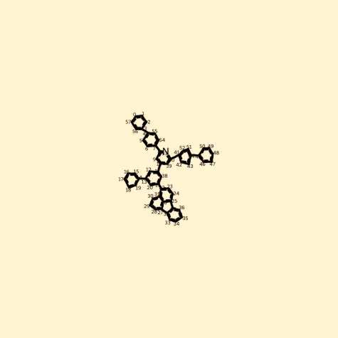 c1ccc(-c2ccc(-c3cc(-c4cc(-c5ccccc5)cc(-c5ccc6c7c(cccc57)-c5ccccc5-6)c4)cc(-c4ccc(-c5ccccc5)cc4)n3)cc2)cc1